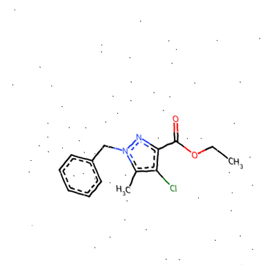 CCOC(=O)c1nn(Cc2ccccc2)c(C)c1Cl